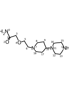 NC(=O)COCCN1CCC(N2CCNCC2)CC1